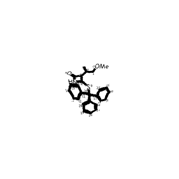 COCC(C)C1C(=O)NC1SC(c1ccccc1)(c1ccccc1)c1ccccc1